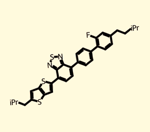 CC(C)CCc1ccc(-c2ccc(-c3ccc(-c4cc5sc(CC(C)C)cc5s4)c4nsnc34)cc2)c(F)c1